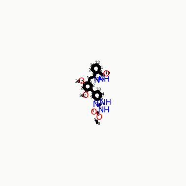 CCOC(=O)Nc1nc2cc(-c3cc(Cc4n[nH]c(=O)c5ccccc45)c(OC)cc3OC)ccc2[nH]1